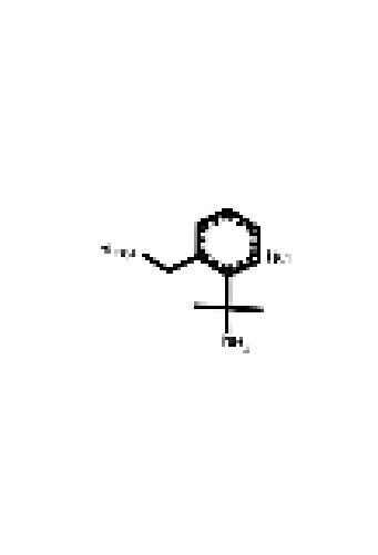 CCCCCCCCc1ccccc1C(C)(C)N.Cl